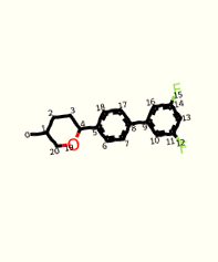 CC1CCC(c2ccc(-c3cc(F)cc(F)c3)cc2)OC1